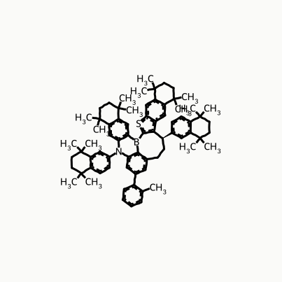 Cc1ccccc1-c1cc2c3c(c1)N(c1ccc4c(c1)C(C)(C)CCC4(C)C)c1cc4c(cc1B3c1sc3cc5c(cc3c1[C@@H](c1ccc3c(c1)C(C)(C)CCC3(C)C)CC2)C(C)(C)CCC5(C)C)C(C)(C)CCC4(C)C